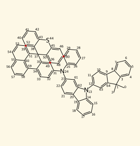 CC1(C)c2ccccc2-c2ccc(-n3c4ccccc4c4ccc(N(c5ccccc5)c5ccc6c(c5)C5(c7ccccc7Sc7ccccc75)c5cccc7cccc-6c57)cc43)cc21